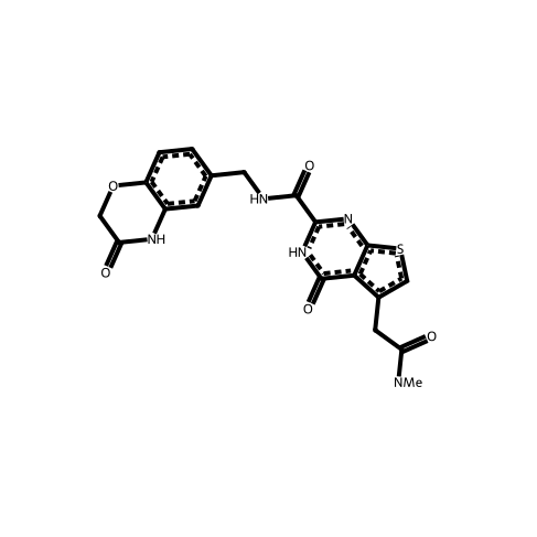 CNC(=O)Cc1csc2nc(C(=O)NCc3ccc4c(c3)NC(=O)CO4)[nH]c(=O)c12